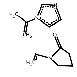 C=C(C)n1ccnc1.C=CN1CCCC1=O